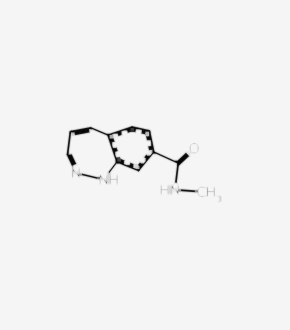 CNC(=O)c1ccc2c(c1)NN=CC=C2